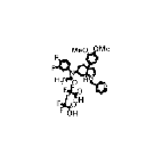 COc1ccc(C23CCC(N(C(N)=O)c4ccc(F)c(F)c4)C[C@@H]2N(Cc2cccnc2)CC3)cc1OC.O=C(O)C(F)(F)F.O=C(O)C(F)(F)F